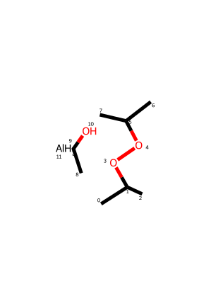 CC(C)OOC(C)C.CCO.[AlH3]